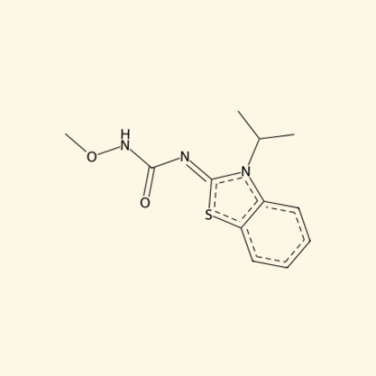 CONC(=O)N=c1sc2ccccc2n1C(C)C